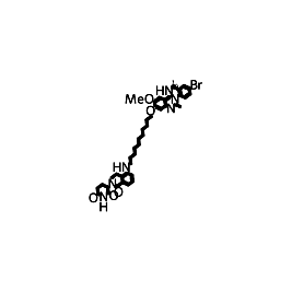 COc1cc2c(N[C@H](C)c3cccc(Br)c3)nc(C)nc2cc1OCCCCCCCCCCCNc1cccc2c1CCN(C1CCC(=O)NC1=O)C2=O